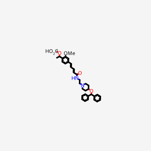 COc1cc(C=CC=CC(=O)NCCN2CCC(OC(c3ccccc3)c3ccccc3)CC2)ccc1C(C)OC(=O)O